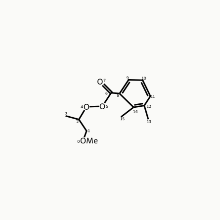 COC[C](C)OOC(=O)c1cccc(C)c1C